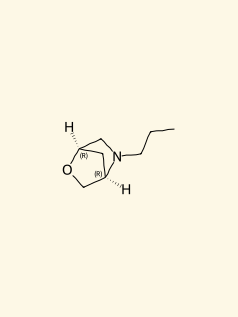 CCCN1C[C@H]2C[C@@H]1CO2